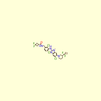 CCC(F)(F)C1CCCN(c2cc3c(cc2Cl)nc(Nc2c(Cl)ccc(CNC(=O)C4CC(F)(F)C4)c2Cl)n3C)C1